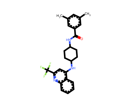 Cc1cc(C)cc(C(=O)NC2CCC(Nc3cc(C(F)(F)F)nc4ccccc34)CC2)c1